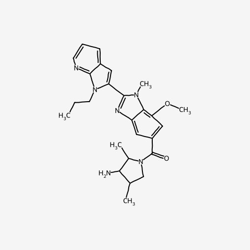 CCCn1c(-c2nc3cc(C(=O)N4CC(C)C(N)C4C)cc(OC)c3n2C)cc2cccnc21